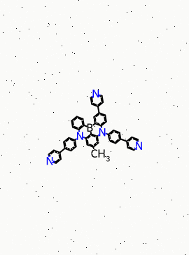 Cc1cc2c3c(c1)N(c1ccc(-c4ccncc4)cc1)c1ccc(-c4ccncc4)cc1B3c1ccccc1N2c1ccc(-c2ccncc2)cc1